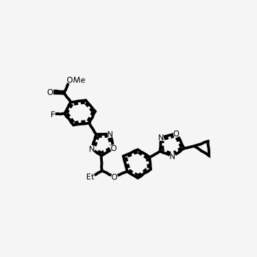 CCC(Oc1ccc(-c2noc(C3CC3)n2)cc1)c1nc(-c2ccc(C(=O)OC)c(F)c2)no1